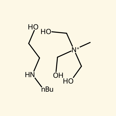 CCCCNCCO.C[N+](CO)(CO)CO